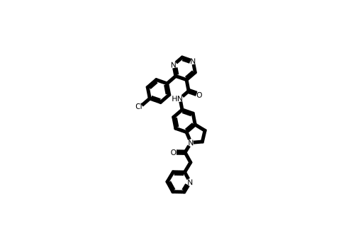 O=C(Nc1ccc2c(c1)CCN2C(=O)Cc1ccccn1)c1cncnc1-c1ccc(Cl)cc1